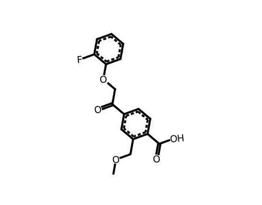 COCc1cc(C(=O)COc2ccccc2F)ccc1C(=O)O